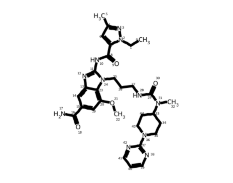 CCn1nc(C)cc1C(=O)Nc1nc2cc(C(N)=O)cc(OC)c2n1CCCNC(=O)N(C)C1CCN(c2ncccn2)CC1